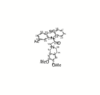 COc1cc2c(cc1OC)CN(CC(=O)N1c3ccccc3Sc3ccc(C(C)=O)cc31)CC2